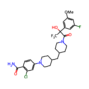 COc1cc(F)cc(C(O)(C(=O)N2CCC(CC3CCN(c4ccc(C(N)=O)c(Cl)c4)CC3)CC2)C(F)(F)F)c1